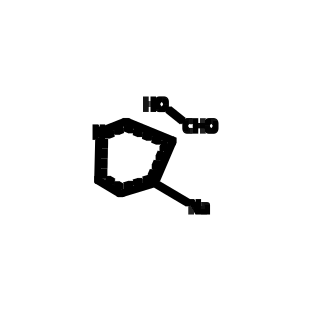 O=CO.[Na][c]1ccncc1